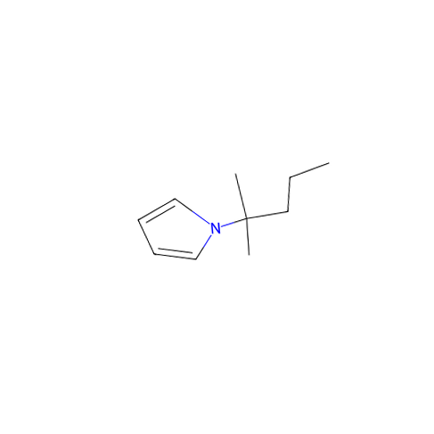 CCCC(C)(C)n1cccc1